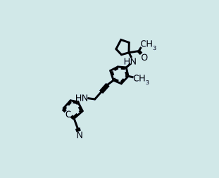 CC(=O)C1(Nc2ccc(C#CCNc3cccc(C#N)c3)cc2C)CCCC1